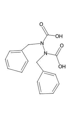 O=C(O)N(Cc1ccccc1)N(Cc1ccccc1)C(=O)O